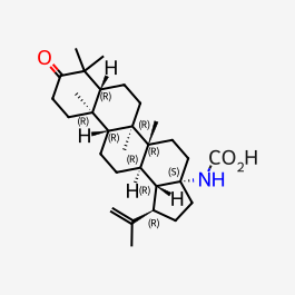 C=C(C)[C@@H]1CC[C@]2(NC(=O)O)CC[C@]3(C)[C@H](CC[C@@H]4[C@@]5(C)CCC(=O)C(C)(C)[C@@H]5CC[C@]43C)[C@@H]12